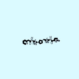 Cn1ccc(C(=O)Nc2nnc(C[C@@H]3CC[C@H](c4nnc(NC(=O)Cc5ccccn5)s4)C3)s2)n1